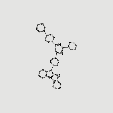 c1ccc(-c2ccc(-c3cc(-c4ccc(-c5c6ccccc6n6c5oc5ccccc56)cc4)nc(-c4ccccc4)n3)cc2)cc1